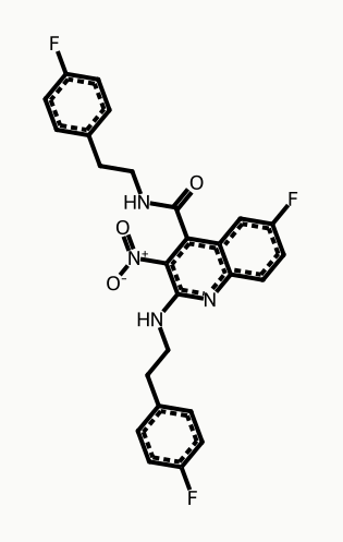 O=C(NCCc1ccc(F)cc1)c1c([N+](=O)[O-])c(NCCc2ccc(F)cc2)nc2ccc(F)cc12